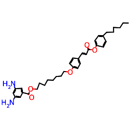 CCCCCCc1ccc(OC(=O)C=Cc2ccc(OCCCCCCCCOC(=O)c3cc(N)cc(N)c3)cc2)cc1